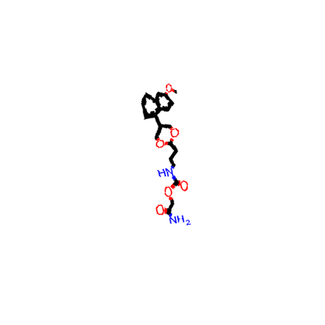 COc1ccc2c(C3COC(CCCNC(=O)OCC(N)=O)OC3)cccc2c1